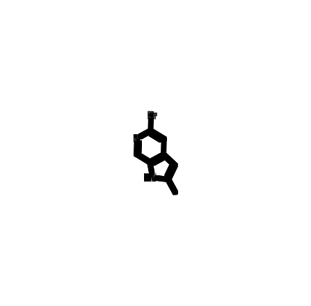 Cc1cc2cc(Br)ncc2[nH]1